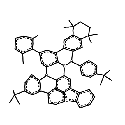 Cc1cccc(C)c1-c1cc2c3c(c1)N(c1ccc(C(C)(C)C)cc1-c1ccccc1)c1cc4oc5ccccc5c4cc1B3N(c1ccc(C(C)(C)C)cc1)c1cc3c(cc1-2)C(C)(C)CCC3(C)C